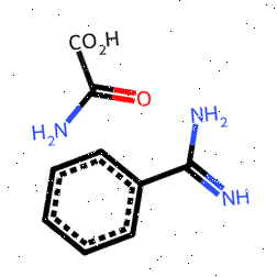 N=C(N)c1ccccc1.NC(=O)C(=O)O